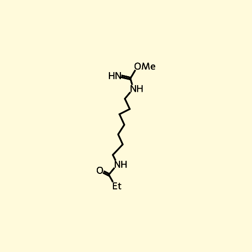 CCC(=O)NCCCCCCCNC(=N)OC